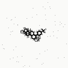 CC(C)(C)c1ccc(C2=C3CC[C@@H]4C(=C3CCC23OCCO3)CC[C@]2(C)C(=O)CC[C@@H]42)cc1